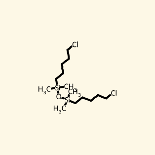 C[Si](C)(CCCCCCl)O[Si](C)(C)CCCCCCl